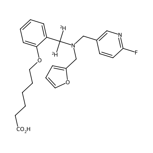 [2H]C([2H])(c1ccccc1OCCCCCC(=O)O)N(Cc1ccc(F)nc1)Cc1ccco1